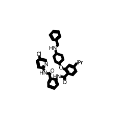 CC(C)c1ccc(C(=O)Nc2ccccc2C(=O)Nc2ccc(Cl)cn2)c(OC2CCC(NCc3ccccc3)CC2)c1